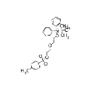 Cc1ccc(S(=O)(=O)OCCOCCO[Si](c2ccccc2)(c2ccccc2)C(C)(C)C)cc1